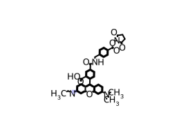 CC/N=c1\ccc2c(-c3ccc(C(=O)NCc4ccc(C(=O)ON5C(=O)CCC5=O)cc4)cc3C(=O)O)c3ccc(N(C)C)cc3oc-2c1